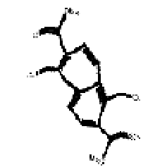 COC(=O)c1ccc2c(Cl)c(C(=O)OC)ccc2c1Cl